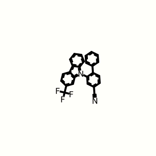 N#Cc1ccc(-c2ccccc2)c(-n2c3ccccc3c3ccc(C(F)(F)F)cc32)c1